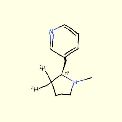 [2H]C1([2H])CCN(C)[C@@H]1c1cccnc1